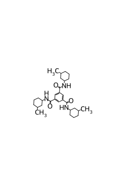 CC1CCCC(NC(=O)c2cc(C(=O)NC3CCCC(C)C3)cc(C(=O)NC3CCCC(C)C3)c2)C1